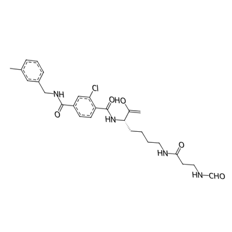 C=C(O)[C@H](CCCCNC(=O)CCNC=O)NC(=O)c1ccc(C(=O)NCc2cccc(C)c2)cc1Cl